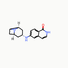 O=c1[nH]ccc2cc(N[C@@H]3C[C@H]4CC5[C@@H](C3)N54)ccc12